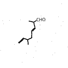 C=CC(C)CC=CC(C)C=O